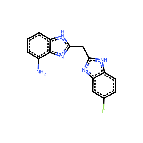 Nc1cccc2[nH]c(Cc3nc4cc(F)ccc4[nH]3)nc12